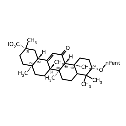 CCCCCO[C@H]1CC[C@@]2(C)C(CC[C@]3(C)[C@@H]2C(=O)C=C2[C@H]4C[C@@](C)(C(=O)O)CC[C@]4(C)CC[C@]23C)C1(C)C